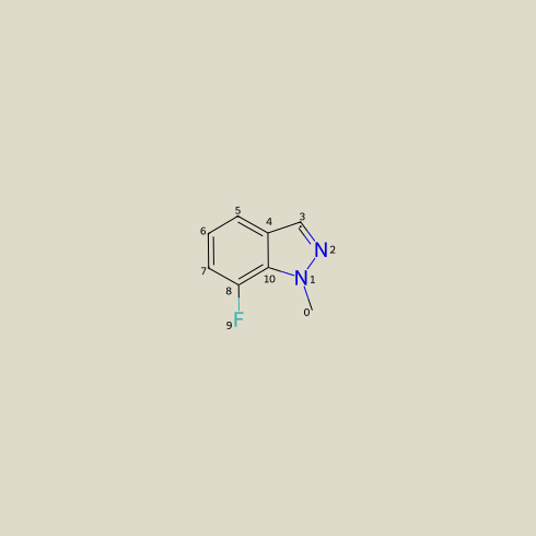 Cn1n[c]c2cccc(F)c21